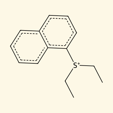 CC[S+](CC)c1cccc2ccccc12